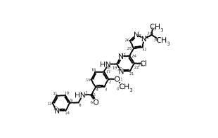 COc1cc(C(=O)NCc2cccnc2)ccc1Nc1ncc(Cl)c(-c2cnn(C(C)C)c2)n1